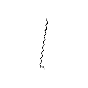 CCCCCCCCCCCCCC=CC=CI